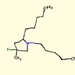 CCCCCC1CC(C)(F)CN1CCCCC